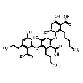 CCCCCc1c(Oc2cc(O)c(Oc3cc(O)cc(CCC)c3C(=O)O)c(CCCC)c2C(=O)O)c(O)cc(O)c1C(=O)O